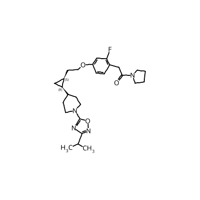 CC(C)c1noc(N2CCC([C@H]3C[C@H]3CCOc3ccc(CC(=O)N4CCCC4)c(F)c3)CC2)n1